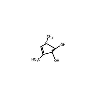 Cn1cc(C(=O)O)c(O)c1O